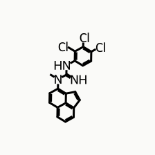 CN(C(=N)Nc1ccc(Cl)c(Cl)c1Cl)c1ccc2cccc3c2c1C=C3